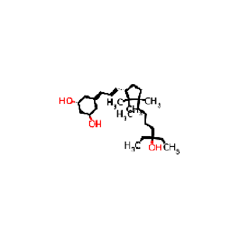 CCC(O)(CC)CCC[C@H](C)[C@@]1(C)CC[C@@H](/C=C/C=C2C[C@@H](O)C[C@H](O)C2)C1(C)C